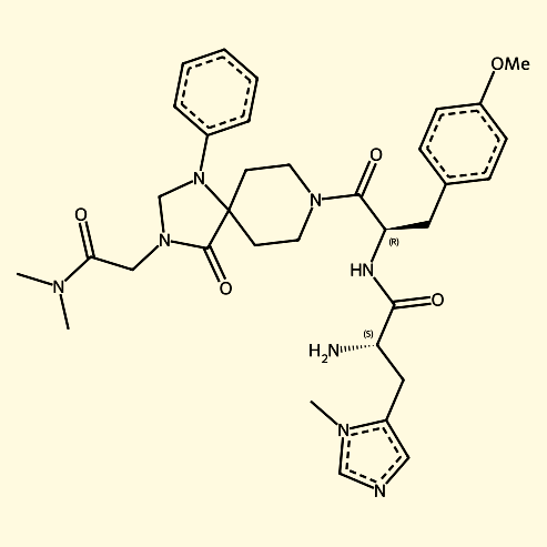 COc1ccc(C[C@@H](NC(=O)[C@@H](N)Cc2cncn2C)C(=O)N2CCC3(CC2)C(=O)N(CC(=O)N(C)C)CN3c2ccccc2)cc1